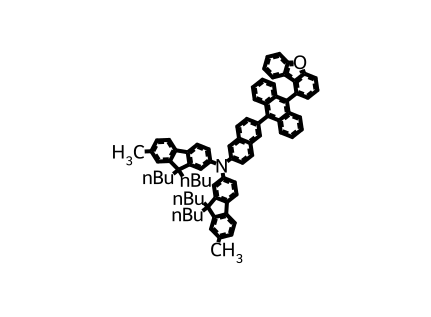 CCCCC1(CCCC)c2cc(C)ccc2-c2ccc(N(c3ccc4c(c3)C(CCCC)(CCCC)c3cc(C)ccc3-4)c3ccc4cc(-c5c6ccccc6c(-c6cccc7oc8ccccc8c67)c6ccccc56)ccc4c3)cc21